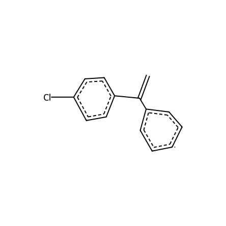 C=C(c1cc[c]cc1)c1ccc(Cl)cc1